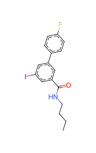 CCCCNC(=O)c1cc(I)cc(-c2ccc(F)cc2)c1